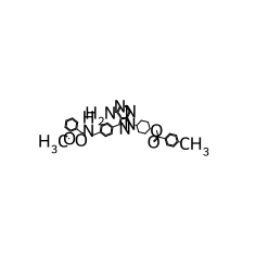 COc1ccccc1C(=O)NCc1ccc(-c2nn(C3CCC(OC(=O)c4ccc(C)cc4)CC3)c3ncnc(N)c23)cc1